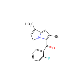 CCc1cc2n(c1C(=O)c1ccccc1F)CC=C2C(=O)O